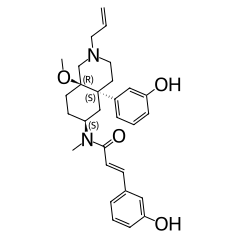 C=CCN1CC[C@@]2(c3cccc(O)c3)C[C@@H](N(C)C(=O)C=Cc3cccc(O)c3)CC[C@]2(OC)C1